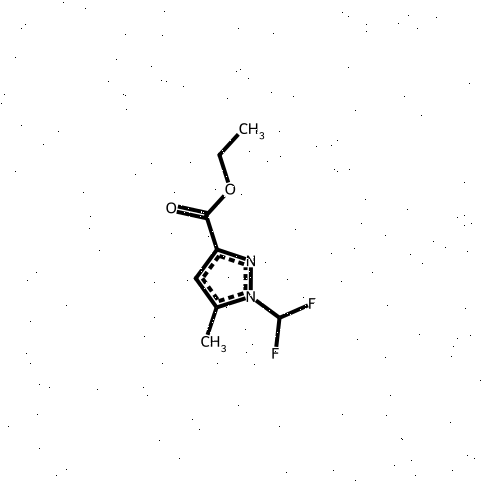 CCOC(=O)c1cc(C)n(C(F)F)n1